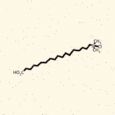 C[Si](C)(Cl)CCCCCCCCCCCCCCCCCC(=O)O